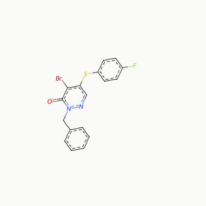 O=c1c(Br)c(Sc2ccc(F)cc2)cnn1Cc1ccccc1